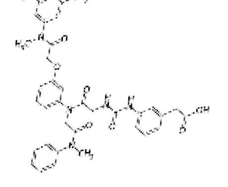 Cc1cc(C)cc(N(C)C(=O)COc2cccc(N(CC(=O)N(C)c3ccccc3)C(=O)CNC(=O)Nc3cccc(CC(=O)O)c3)c2)c1